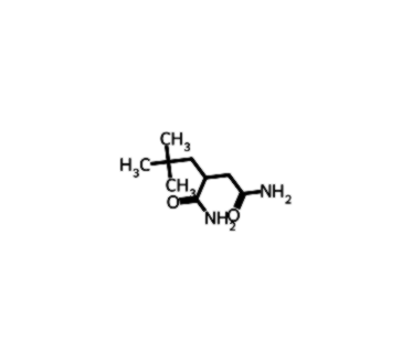 CC(C)(C)CC(CC(N)=O)C(N)=O